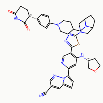 N#Cc1cnn2c(-c3cc(N[C@@H]4CCOC4)c(-c4nnc(N5CC6CCC(C5)N6CC5CCN(c6ccc([C@H]7CCC(=O)NC7=O)cc6)CC5)s4)cn3)ccc2c1